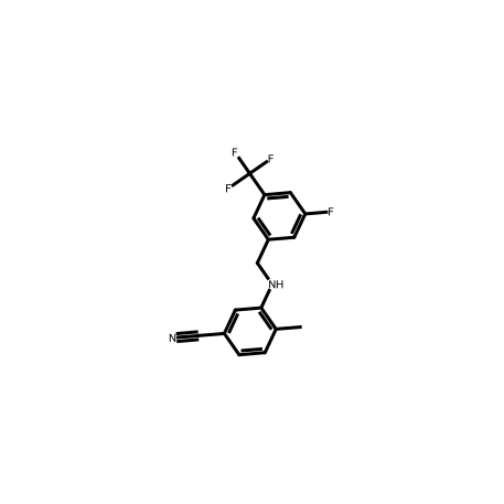 Cc1ccc(C#N)cc1NCc1cc(F)cc(C(F)(F)F)c1